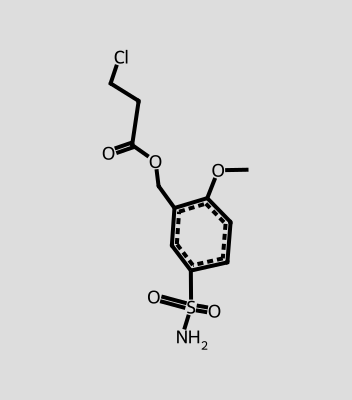 COc1ccc(S(N)(=O)=O)cc1COC(=O)CCCl